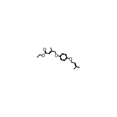 CCOC(=O)C=C(C)COc1ccc(OCC=C(C)C)cc1